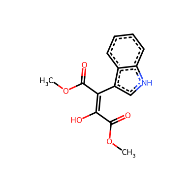 COC(=O)/C(O)=C(/C(=O)OC)c1c[nH]c2ccccc12